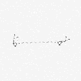 C=CCN(CC=C)C(=O)NCC1(C)CC(NC(=O)OCCOCCOCCOCCOCCOCCOCCOCCOC(=O)NC2CC(C)(C)CC(C)(CNC(=O)N(CC=C)CC=C)C2)CC(C)(C)C1